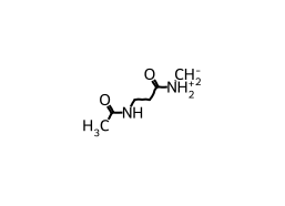 [CH2-][NH2+]C(=O)CCNC(C)=O